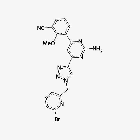 COc1c(C#N)cccc1-c1cc(-c2cn(Cc3cccc(Br)n3)nn2)nc(N)n1